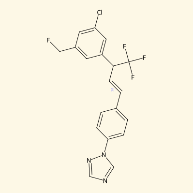 FCc1cc(Cl)cc(C(/C=C/c2ccc(-n3cncn3)cc2)C(F)(F)F)c1